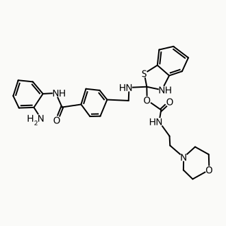 Nc1ccccc1NC(=O)c1ccc(CNC2(OC(=O)NCCN3CCOCC3)Nc3ccccc3S2)cc1